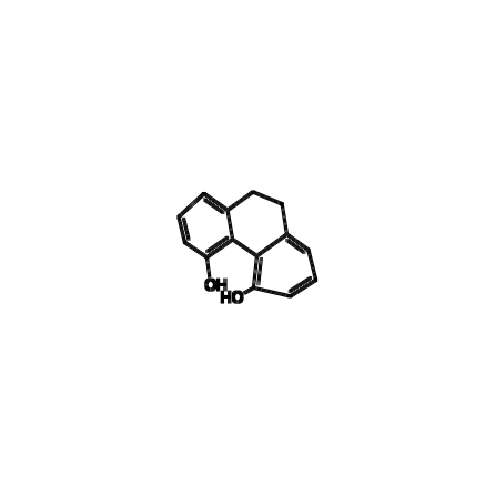 Oc1cccc2c1-c1c(O)cccc1CC2